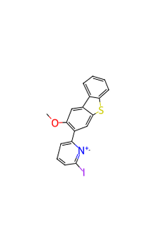 COc1cc2c(cc1-c1cccc(I)[n+]1C)sc1ccccc12